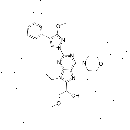 CCn1c(C(O)COC)nc2c(N3CCOCC3)nc(-n3cc(-c4ccccc4)c(OC)n3)nc21